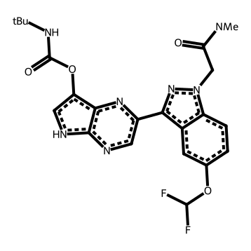 CNC(=O)Cn1nc(-c2cnc3[nH]cc(OC(=O)NC(C)(C)C)c3n2)c2cc(OC(F)F)ccc21